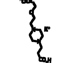 O=C([O-])COCCN1CCN(CCC(=O)O)CC1.[K+]